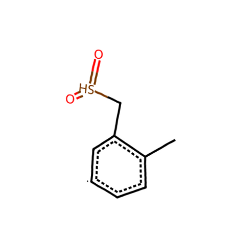 Cc1cc[c]cc1C[SH](=O)=O